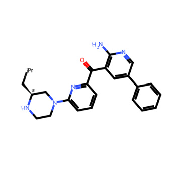 CC(C)C[C@H]1CN(c2cccc(C(=O)c3cc(-c4ccccc4)cnc3N)n2)CCN1